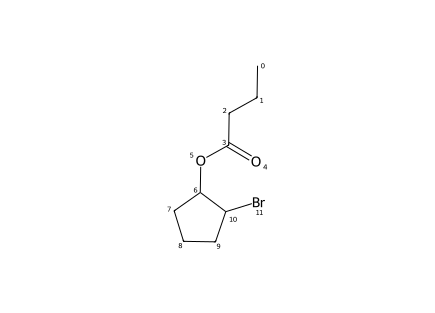 CCCC(=O)OC1CCCC1Br